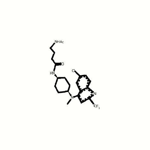 CC(=O)NCCCC(=O)N[C@H]1CC[C@@H](N(C)c2cc(C(F)(F)F)nc3ccc(Cl)cc23)CC1